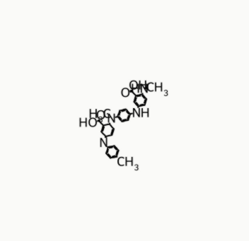 CNc1ccc(Nc2ccc(N(C)C3C=C/C(=N\c4ccc(C)cc4)C=C3C(=O)O)cc2)cc1C(=O)O